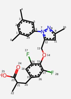 Cc1cc(C)cc(-n2nc(C)cc2COc2c(F)cc(CC(C)C(=O)O)cc2F)c1